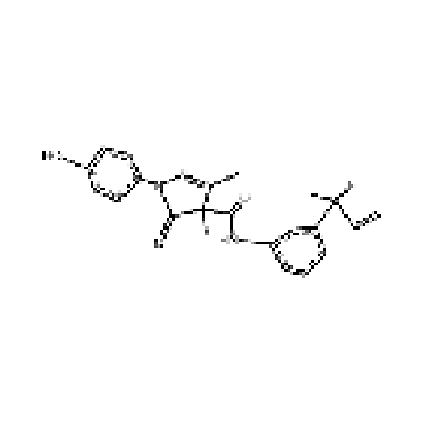 C=CC(C)(F)c1cccc(NC(=O)C2(F)C(=O)N(c3ccc(O)cc3)N=C2C)c1